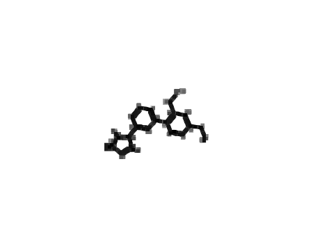 FCc1ccc(-c2cccc(-c3nc[nH]n3)c2)c(CF)c1